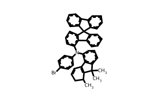 CC1CC=CC2=C1C(C)(C)c1cccc(N(c3ccc(Br)cc3)c3cccc4c3-c3ccccc3C43c4ccccc4-c4ccccc43)c12